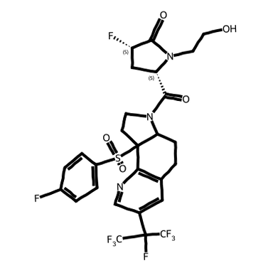 O=C([C@@H]1C[C@H](F)C(=O)N1CCO)N1CCC2(S(=O)(=O)c3ccc(F)cc3)c3ncc(C(F)(C(F)(F)F)C(F)(F)F)cc3CCC12